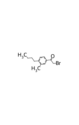 CCCCc1ccc(C(=O)CBr)cc1C